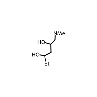 CC[C@@H](O)CC(O)CNC